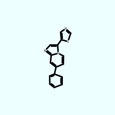 c1ccc(-c2ccn3c(-c4cncs4)cnc3c2)cc1